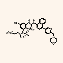 COCCN(C(C)=O)N(c1cc(C(C)(C)C)cc(NC(=O)Nc2ccc(-c3ccc(CN4CCOCC4)nc3)c3ccccc23)c1OC)S(C)(=O)=O